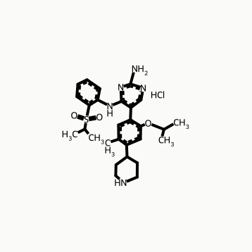 Cc1cc(-c2cnc(N)nc2Nc2ccccc2S(=O)(=O)C(C)C)c(OC(C)C)cc1C1CCNCC1.Cl